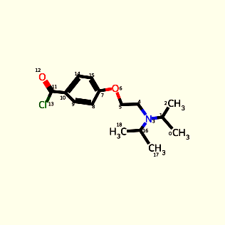 CC(C)N(CCOc1ccc(C(=O)Cl)cc1)C(C)C